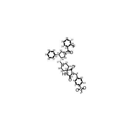 CS(=O)(=O)c1ccc(CN2C(=O)NC3(CCN(C[C@H]4CN(C(=O)c5ccccc5F)C[C@@H]4c4ccccc4)CC3)C2=O)cc1